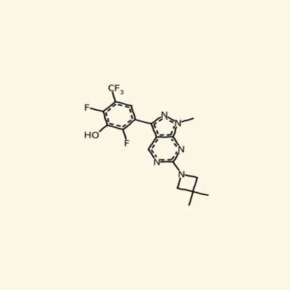 Cn1nc(-c2cc(C(F)(F)F)c(F)c(O)c2F)c2cnc(N3CC(C)(C)C3)nc21